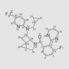 O=C(c1cccc(F)c1-c1ncccn1)N1CC2CC23CC(N(CC2CC2)c2ccc(C(F)(F)F)cn2)C13